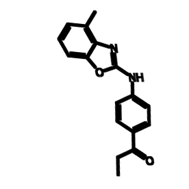 CCC(=O)c1ccc(Nc2nc3c(C)cccc3o2)cc1